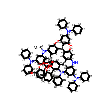 CSN1c2cc3c(cc2B2c4ccc5oc6c(C(C)(C)C)cccc6c5c4Oc4cc(N(c5ccccc5)c5ccccc5)cc1c42)B1c2cc4c(cc2Oc2cc(N(c5ccccc5)c5ccccc5)cc(c21)O3)Nc1cc(N(c2ccccc2)c2ccccc2)cc2c1B4c1ccc3oc4c(C(C)(C)C)cccc4c3c1N2c1ccccc1